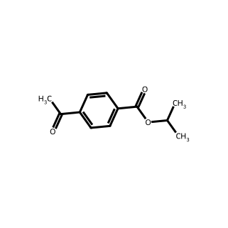 CC(=O)c1ccc(C(=O)OC(C)C)cc1